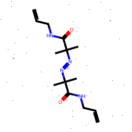 C=CCNC(=O)C(C)(C)/N=N/C(C)(C)C(=O)NCC=C